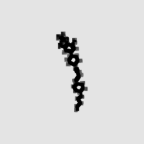 CCCCC[C@H]1CC[C@H](C=CC#C[C@H]2CC[C@H](c3cc(F)c(OC(F)(F)F)c(F)c3)CC2)CC1